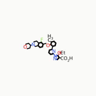 CCOc1c(C(=O)O)cnn1-c1cccc(-c2cccc(C)c2OCc2ccc3c(c2F)CCN(C2CCOCC2)C3)n1